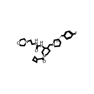 O=C(NCCN1CCOCC1)NC1CN(C(=O)C2CCC2)CCC1CN1CCC[C@@H](Cc2ccc(F)cc2)C1